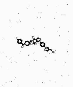 O=C(c1ccc(F)cc1)N1CCC(O)(Cn2cnc3c(cnn3-c3ccc(-n4cc(CO)cn4)cc3)c2=O)CC1